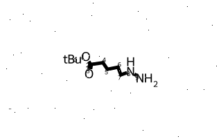 CC(C)(C)OC(=O)CCCCNN